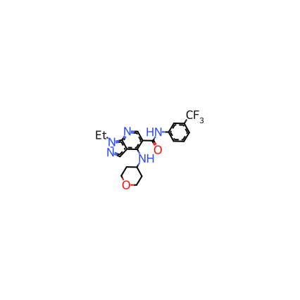 CCn1ncc2c(NC3CCOCC3)c(C(=O)Nc3cccc(C(F)(F)F)c3)cnc21